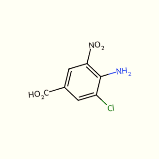 Nc1c(Cl)cc(C(=O)O)cc1[N+](=O)[O-]